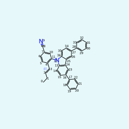 CC/C=C/c1ccc(C#N)cc1-n1c2ccc(-c3ccccc3)cc2c2cc(-c3ccccc3)ccc21